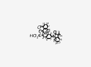 O=C(N[C@@H](Cc1ccc(N2C(=O)C3(CC3)c3cccnc32)cc1)C(=O)O)c1c(Cl)cccc1Cl